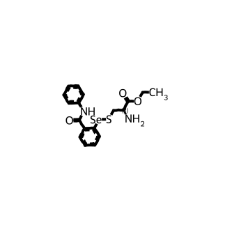 CCOC(=O)[C@@H](N)CS[Se]c1ccccc1C(=O)Nc1ccccc1